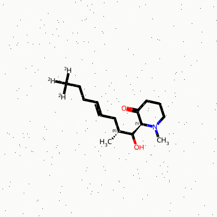 [2H]C([2H])([2H])CCC=CC[C@@H](C)C(O)[C@H]1C(=O)CCCN1C